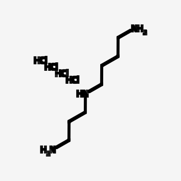 Cl.Cl.Cl.Cl.NCCCCNCCCN